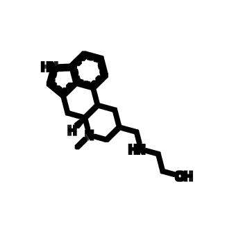 CN1CC(CNCCO)CC2c3cccc4[nH]cc(c34)C[C@H]21